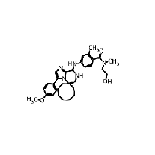 COc1ccc(-c2cnc3n2C2(CCCCCCC2)CNC3Nc2ccc(C(=O)N(C)CCO)c(C)c2)cc1